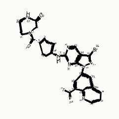 O=C1CN(C(=O)[C@@H]2CC[C@@H](Nc3ncc4c(Br)nn(-c5cc(C(F)F)c6ncccc6c5)c4n3)C2)CCN1